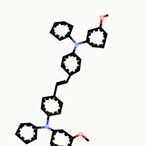 COc1cccc(N(c2ccccc2)c2ccc(/C=C/c3ccc(N(c4ccccc4)c4cccc(OC)c4)cc3)cc2)c1